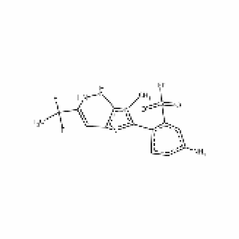 CCS(=O)(=O)c1cc(N)ccc1-c1nc2c(n1C)NNC(C(F)(F)C(F)(F)F)=C2